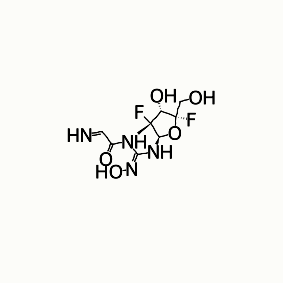 C[C@]1(F)[C@H](N/C(=N/O)NC(=O)C=N)O[C@](F)(CO)[C@H]1O